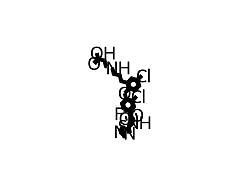 O=C(O)CCNCCCc1cc(Cl)ccc1Oc1cc(F)c(S(=O)(=O)Nc2ncns2)cc1Cl